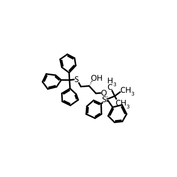 CC(C)(C)[Si](OC[C@@H](O)CSC(c1ccccc1)(c1ccccc1)c1ccccc1)(c1ccccc1)c1ccccc1